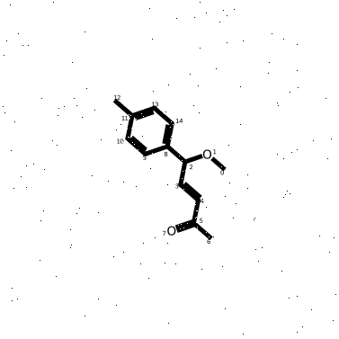 COC(C=CC(C)=O)c1ccc(C)cc1